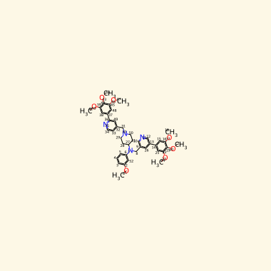 COc1cccc(N(Cc2cncc(-c3cc(OC)c(OC)c(OC)c3)c2)C2CCN(Cc3ccnc(-c4cc(OC)c(OC)c(OC)c4)c3)CC2)c1